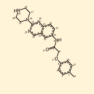 Cc1ccc(OCC(=O)Nc2ccc3nc(N4CCNCC4)ncc3c2)cc1